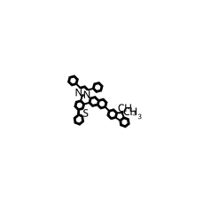 CC1(C)c2ccccc2-c2ccc(-c3ccc4ccc(-c5c(-c6nc(-c7ccccc7)cc(-c7ccccc7)n6)ccc6c5sc5ccccc56)cc4c3)cc21